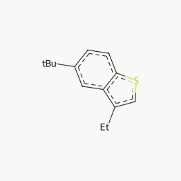 CCc1csc2ccc(C(C)(C)C)cc12